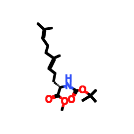 COC(=O)[C@H](CC/C=C(\C)CCC=C(C)C)NC(=O)OC(C)(C)C